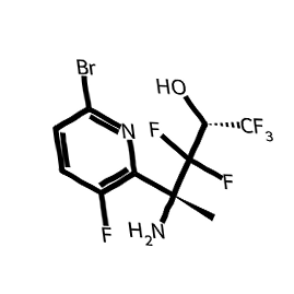 C[C@@](N)(c1nc(Br)ccc1F)C(F)(F)[C@H](O)C(F)(F)F